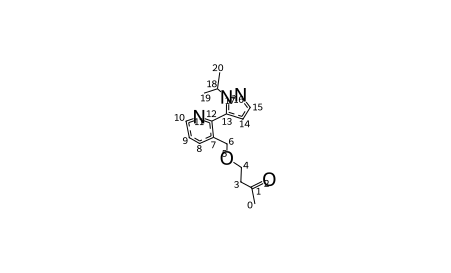 CC(=O)CCOCc1cccnc1-c1ccnn1C(C)C